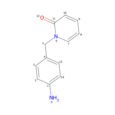 Nc1ccc(Cn2ccccc2=O)cc1